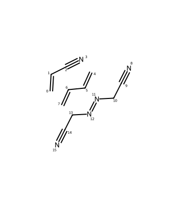 C=CC#N.C=CC=C.N#CCN=NCC#N